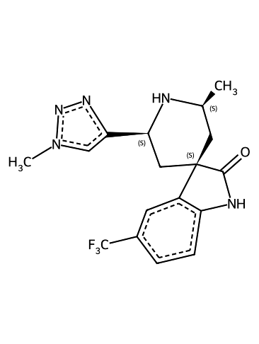 C[C@H]1C[C@@]2(C[C@@H](c3cn(C)nn3)N1)C(=O)Nc1ccc(C(F)(F)F)cc12